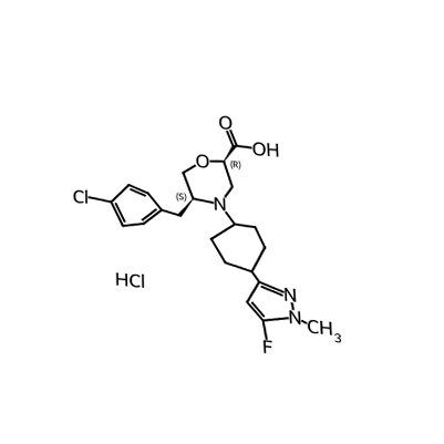 Cl.Cn1nc(C2CCC(N3C[C@H](C(=O)O)OC[C@@H]3Cc3ccc(Cl)cc3)CC2)cc1F